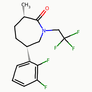 C[C@H]1CC[C@@H](c2cccc(F)c2F)CN(CC(F)(F)F)C1=O